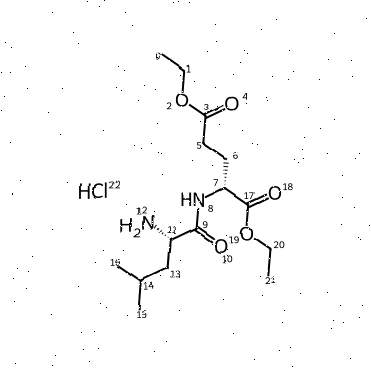 CCOC(=O)CC[C@@H](NC(=O)[C@@H](N)CC(C)C)C(=O)OCC.Cl